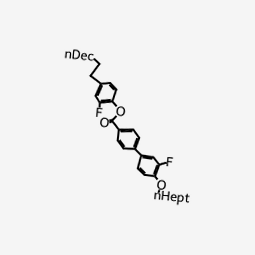 CCCCCCCCCCCCc1ccc(OC(=O)c2ccc(-c3ccc(OCCCCCCC)c(F)c3)cc2)c(F)c1